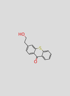 O=c1c2ccccc2sc2cc(CCO)ccc12